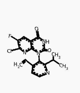 C=Cc1ccnc(C(C)C)c1-n1c(=O)[nH]c(=O)c2cc(F)c(Cl)nc21